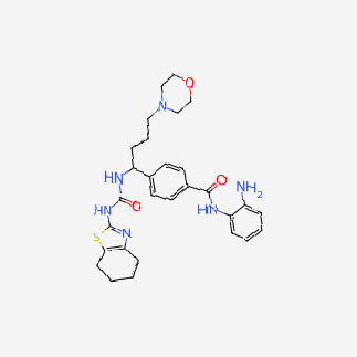 Nc1ccccc1NC(=O)c1ccc(C(CCCN2CCOCC2)NC(=O)Nc2nc3c(s2)CCCC3)cc1